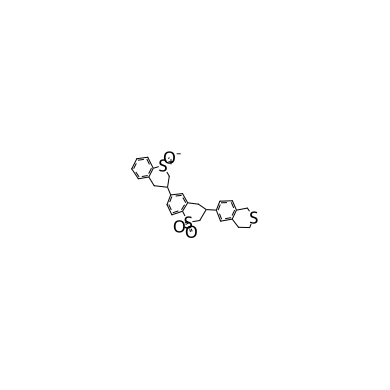 O=S1(=O)CC(c2ccc3c(c2)CCSC3)Cc2cc(C3Cc4ccccc4[S+]([O-])C3)ccc21